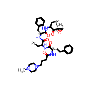 CC(C)CC(NC(=O)[C@H](CCc1ccccc1)NC(=O)CCCN1CCN(C)CC1)C(=O)N[C@@H](Cc1ccccc1)C(=O)NC(CC(C)C)C(=O)[C@@]1(C)CO1